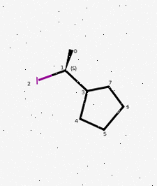 C[C@H](I)C1CCCC1